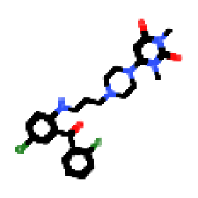 Cn1c(N2CCN(CCCNc3ccc(Cl)cc3C(=O)c3ccccc3Cl)CC2)cc(=O)n(C)c1=O